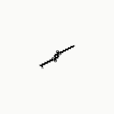 CCCCCCCCCCCOC(=O)C1CCC(C(=O)OCCCCCCCCC(C)C)CC1